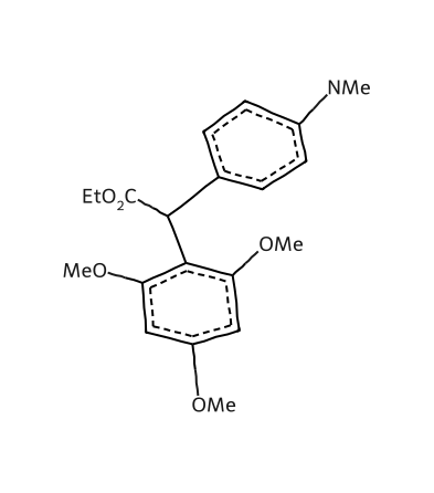 CCOC(=O)C(c1ccc(NC)cc1)c1c(OC)cc(OC)cc1OC